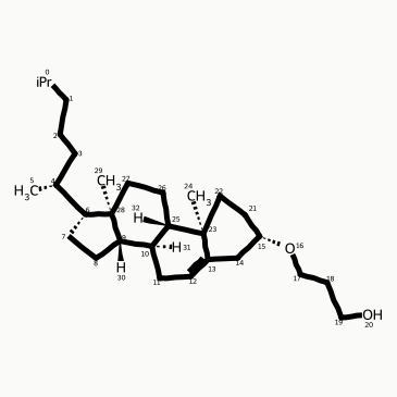 CC(C)CCC[C@@H](C)[C@H]1CC[C@H]2[C@@H]3CC=C4C[C@@H](OCCCO)CC[C@]4(C)[C@H]3CC[C@]12C